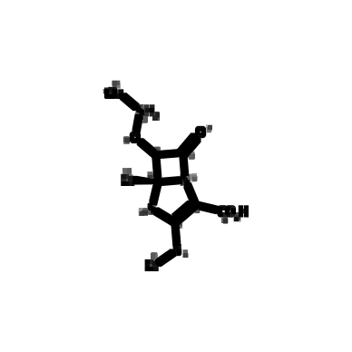 CCSC1=C(C(=O)O)N2C(=O)C(O[SiH2]C(C)(C)C)[C@@]2(CC)S1